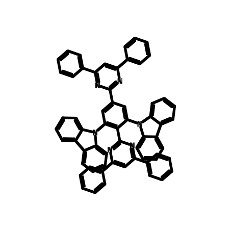 c1ccc(-c2cc(-c3ccccc3)nc(-c3cc(-n4c5ccccc5c5ccccc54)c(-c4nc(-c5ccccc5)cc(-c5ccccc5)n4)c(-n4c5ccccc5c5ccccc54)c3)n2)cc1